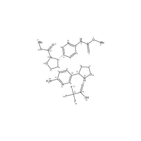 CC(C)(C)OC(=O)Nc1ccc([C@@H]2CCON2C(=O)OC(C)(C)C)cn1.Nc1ccc(C2CCON2)cn1.O=C(O)C(F)(F)F